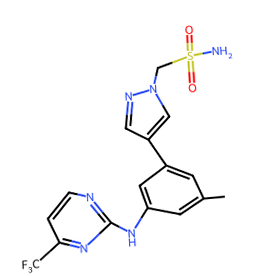 Cc1cc(Nc2nccc(C(F)(F)F)n2)cc(-c2cnn(CS(N)(=O)=O)c2)c1